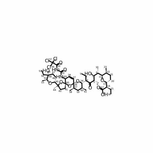 CCC(C(=O)[C@@H](C)[C@@H](O)[C@H](C)[C@@H]1O[C@@H]([C@@H](CC)C(=O)O)CC[C@@H]1C)[C@H]1O[C@]2(C=CC(NC(=O)NC(=O)C(Cl)(Cl)Cl)[C@]3(CC[C@@](C)([C@H]4CC[C@](O)(CC)[C@H](C)O4)O3)O2)[C@H](C)C[C@@H]1C